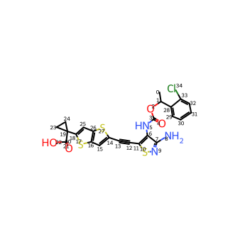 CC(OC(=O)Nc1c(N)nsc1C#Cc1cc2sc(C3(C(=O)O)CC3)cc2s1)c1ccccc1Cl